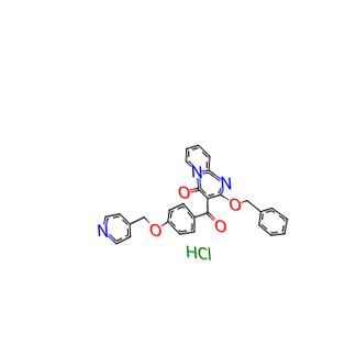 Cl.O=C(c1ccc(OCc2ccncc2)cc1)c1c(OCc2ccccc2)nc2ccccn2c1=O